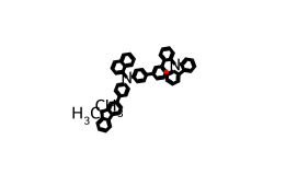 CC1(C)c2ccccc2-c2ccc(-c3ccc(N(c4ccc(-c5cccc(-c6ccccc6-n6c7ccccc7c7ccccc76)c5)cc4)c4cccc5ccccc45)cc3)cc21